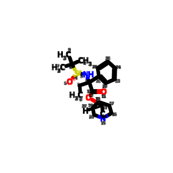 CCC(N[S+]([O-])C(C)(C)C)(C(=O)O[C@H]1CN2CCC1CC2)c1ccccc1